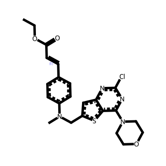 CCOC(=O)/C=C/c1ccc(N(C)Cc2cc3nc(Cl)nc(N4CCOCC4)c3s2)cc1